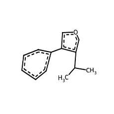 CC(C)c1cocc1-c1ccccc1